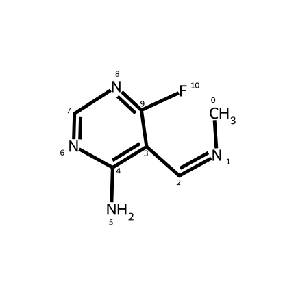 C/N=C\c1c(N)ncnc1F